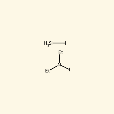 CCN(I)CC.[SiH3]I